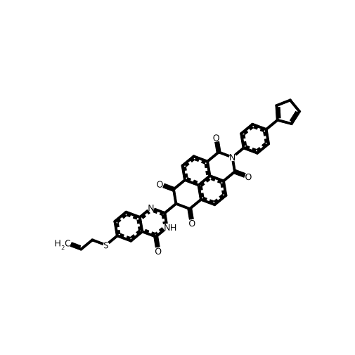 C=CCSc1ccc2nc(C3C(=O)c4ccc5c6c(ccc(c46)C3=O)C(=O)N(c3ccc(C4=CCC=C4)cc3)C5=O)[nH]c(=O)c2c1